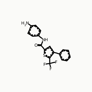 Nc1ccc(NC(=O)c2cc(-c3ccccc3)c(C(F)(F)F)s2)cc1